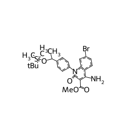 COC(=O)c1c(N)c2ccc(Br)cc2n(-c2ccc(C(C)O[Si](C)(C)C(C)(C)C)cc2)c1=O